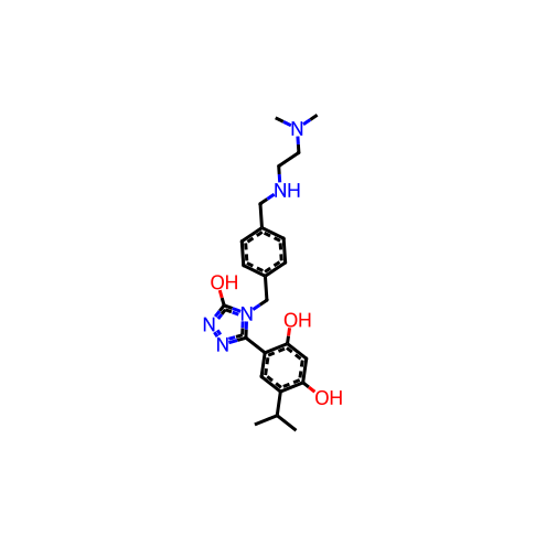 CC(C)c1cc(-c2nnc(O)n2Cc2ccc(CNCCN(C)C)cc2)c(O)cc1O